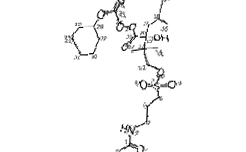 CC(=O)NCCCS(=O)(=O)OCC(C)(C)[C@](O)(CC(C)C)C(=O)OOC(=O)OC1CCCCC1